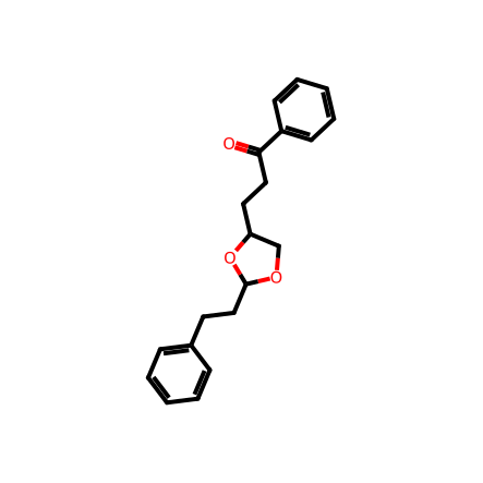 O=C(CCC1COC(CCc2ccccc2)O1)c1ccccc1